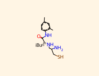 CC[C@H](C)[C@@H](NCC(N)CS)C(=O)Nc1ccc(C)cc1C